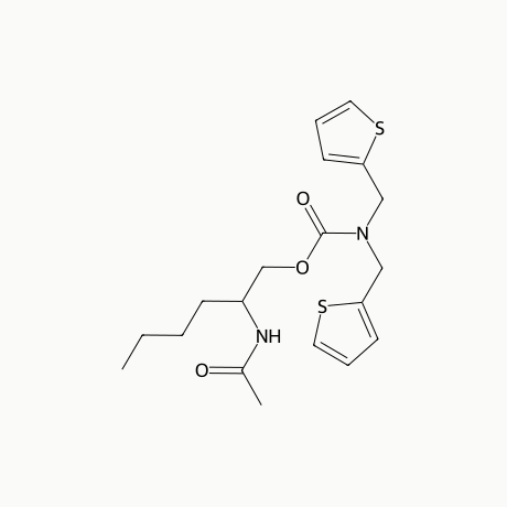 CCCCC(COC(=O)N(Cc1cccs1)Cc1cccs1)NC(C)=O